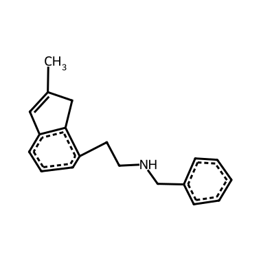 CC1=Cc2cccc(CCNCc3ccccc3)c2C1